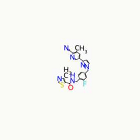 Cc1cc(-c2ccn(Cc3ccc(CNC(=O)c4scnc4C)c(F)c3)n2)cnc1C#N